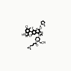 Cc1c(Cl)cc2[nH]ncc2c1-c1c(Cl)cc2c(nc(OC[C@@H]3CCCN3C)c3nnn([C@H]4CCN(C(=O)/C=C/CN(C)C)[C@H](CC#N)C4)c32)c1F